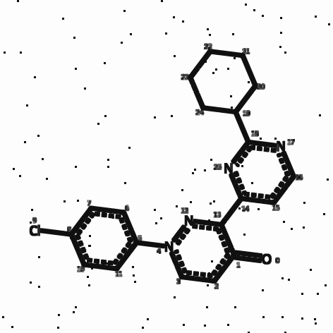 O=c1ccn(-c2ccc(Cl)cc2)nc1-c1ccnc(C2CCCCC2)n1